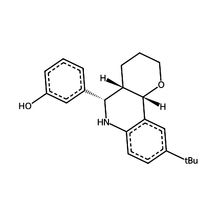 CC(C)(C)c1ccc2c(c1)[C@H]1OCCC[C@H]1[C@@H](c1cccc(O)c1)N2